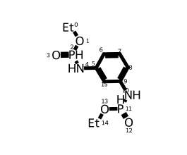 CCO[PH](=O)Nc1cccc(N[PH](=O)OCC)c1